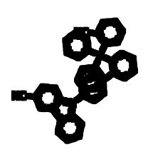 N#Cc1ccc2c(c1)c1ccccc1n2-c1ccc(-c2ccccc2[Si](c2ccccc2)(c2ccccc2)c2ccccc2C#N)cc1